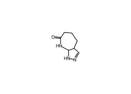 O=C1CCCC2C=NNC2N1